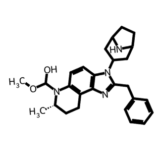 COC(O)N1c2ccc3c(nc(Cc4ccccc4)n3C3CC4CCC(C3)N4)c2CC[C@@H]1C